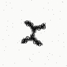 C=C(COC(=O)Cc1ccc(N(c2ccc(/C=C/c3ccc(N(c4ccc(CC(=O)OCC(=C)C(=O)OCC)cc4)c4ccc(CC(=O)OCC(C)(C)C(=O)OCC)cc4)cc3)cc2)c2ccc(CC(=O)OCC(=C)C(=O)OCC)cc2)cc1)C(=O)OCC